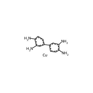 Nc1ccc(-c2ccc(N)c(N)c2)cc1N.[Cu]